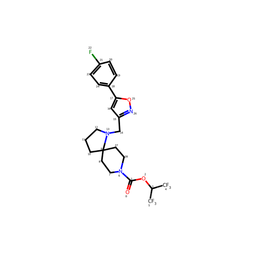 O=C(OC(C(F)(F)F)C(F)(F)F)N1CCC2(CCCN2Cc2cc(-c3ccc(F)cc3)on2)CC1